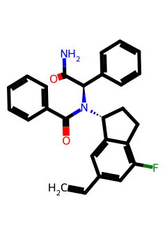 C=Cc1cc(F)c2c(c1)[C@H](N(C(=O)c1ccccc1)[C@@H](C(N)=O)c1ccccc1)CC2